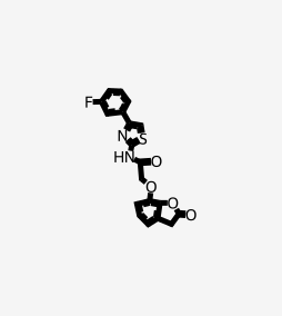 O=C(COc1cccc2c1OC(=O)C2)Nc1nc(-c2cccc(F)c2)cs1